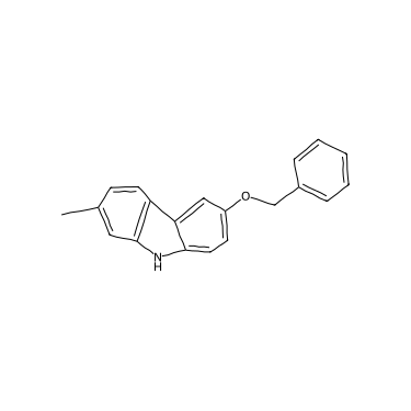 Cc1ccc2c(c1)[nH]c1ccc(OCc3ccccc3)cc12